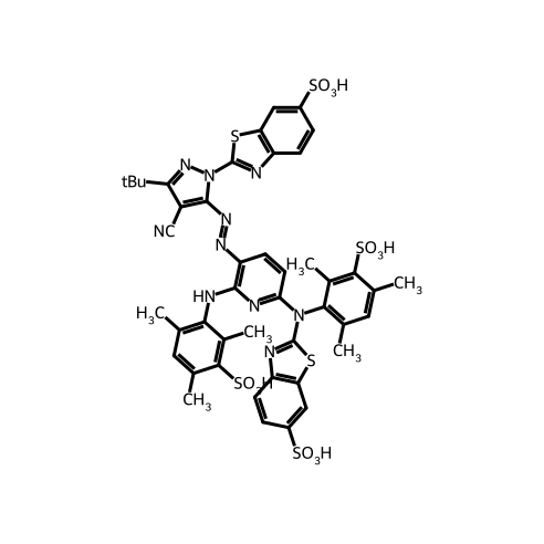 Cc1cc(C)c(S(=O)(=O)O)c(C)c1Nc1nc(N(c2nc3ccc(S(=O)(=O)O)cc3s2)c2c(C)cc(C)c(S(=O)(=O)O)c2C)ccc1/N=N/c1c(C#N)c(C(C)(C)C)nn1-c1nc2ccc(S(=O)(=O)O)cc2s1